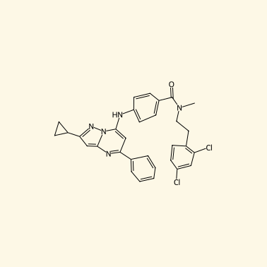 CN(CCc1ccc(Cl)cc1Cl)C(=O)c1ccc(Nc2cc(-c3ccccc3)nc3cc(C4CC4)nn23)cc1